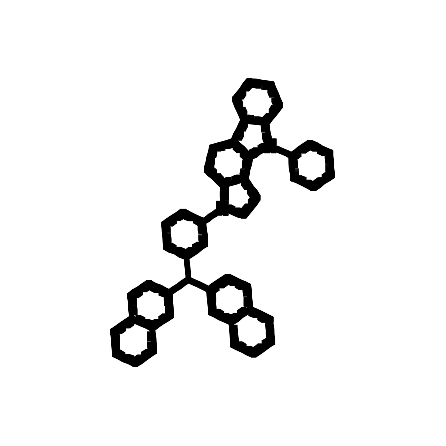 c1ccc(-n2c3ccccc3c3ccc4c(ccn4-c4cccc(C(c5ccc6ccccc6c5)c5ccc6ccccc6c5)c4)c32)cc1